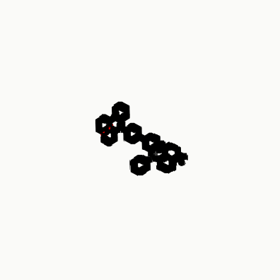 CC1(C)CCC(C)(C)c2c(N(c3ccccc3)c3cccc(-c4ccc(N(c5ccccc5)c5ccccc5-c5ccccc5)cc4)c3)cccc21